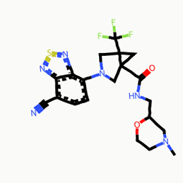 CN1CCOC(CNC(=O)C23CN(c4ccc(C#N)c5nsnc45)CC2(C(F)(F)F)C3)C1